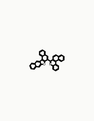 c1ccc2cc3c(cc2c1)oc1c(-c2nc4ccccc4c4c2ccc2ccccc24)cc2ccccc2c13